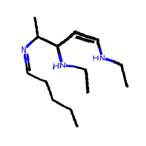 CCCC/C=N\C(C)C(/C=C\NCC)NCC